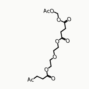 CC(=O)CCC(=O)OCCOCCOC(=O)CCC(=O)OCOC(C)=O